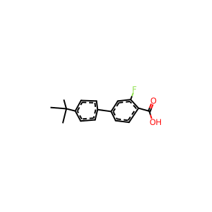 CC(C)(C)c1ccc(-c2ccc(C(=O)O)c(F)c2)cc1